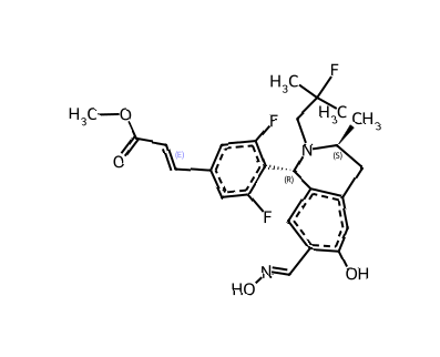 COC(=O)/C=C/c1cc(F)c([C@H]2c3cc(C=NO)c(O)cc3C[C@H](C)N2CC(C)(C)F)c(F)c1